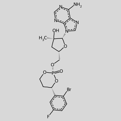 C[C@@]1(O)C[C@@H](CO[P@@]2(=O)OCC[C@@H](c3cc(F)ccc3Br)O2)O[C@H]1n1cnc2c(N)ncnc21